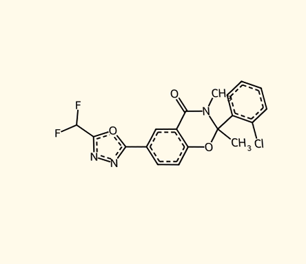 CN1C(=O)c2cc(-c3nnc(C(F)F)o3)ccc2OC1(C)c1ccccc1Cl